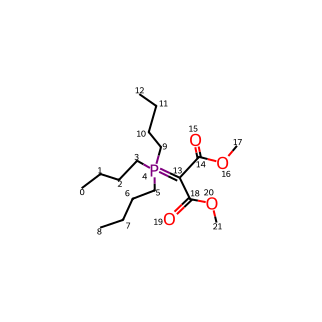 CCCCP(CCCC)(CCCC)=C(C(=O)OC)C(=O)OC